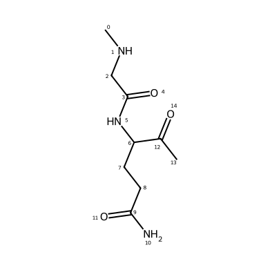 CNCC(=O)NC(CCC(N)=O)C(C)=O